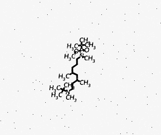 COP(=O)(N(C)CCCC(C)CC(C)CCN(C)C(C)(C)C)C(C)(C)C